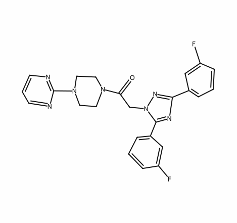 O=C(Cn1nc(-c2cccc(F)c2)nc1-c1cccc(F)c1)N1CCN(c2ncccn2)CC1